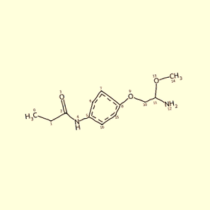 CCC(=O)Nc1ccc(OCC(N)OC)cc1